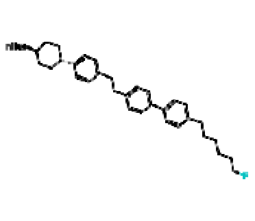 CCCCCC[C@H]1CC[C@H](c2ccc(CCc3ccc(-c4ccc(CCCCCCF)cc4)cc3)cc2)CC1